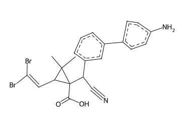 CC1(C)C(C=C(Br)Br)C1(C(=O)O)C(C#N)c1cccc(-c2ccc(N)cc2)c1